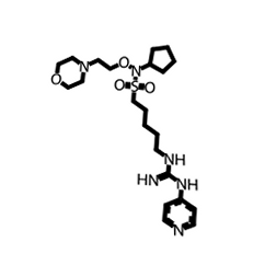 N=C(NCCCCCS(=O)(=O)N(OCCN1CCOCC1)C1CCCC1)Nc1ccncc1